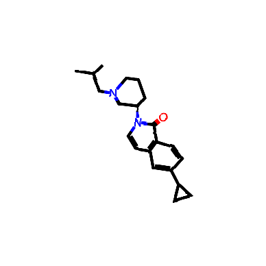 C[C](C)CN1CCC[C@@H](n2ccc3cc(C4CC4)ccc3c2=O)C1